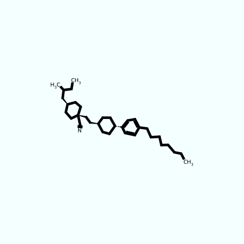 CCCCCCCCc1ccc([C@H]2CC[C@H](CC[C@]3(C#N)CC[C@H](CC(C)CC)CC3)CC2)cc1